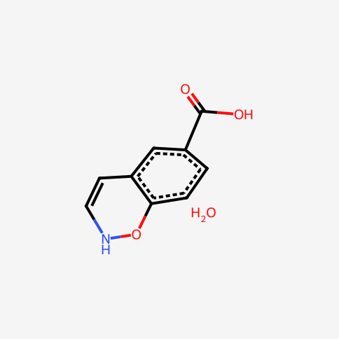 O.O=C(O)c1ccc2c(c1)C=CNO2